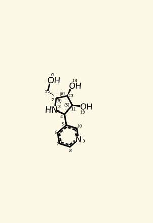 OC[C@H]1NC(c2cccnc2)[C@H](O)[C@@H]1O